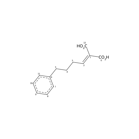 O=C(O)C(=CCCCc1ccccc1)C(=O)O